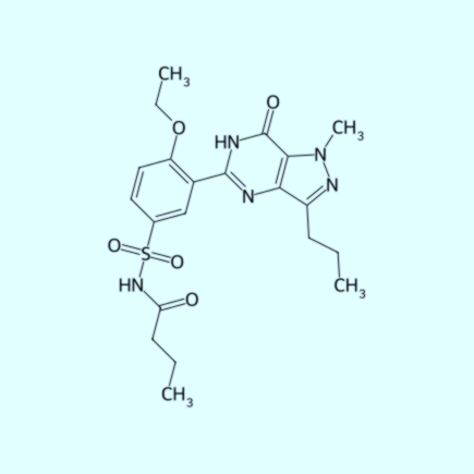 CCCC(=O)NS(=O)(=O)c1ccc(OCC)c(-c2nc3c(CCC)nn(C)c3c(=O)[nH]2)c1